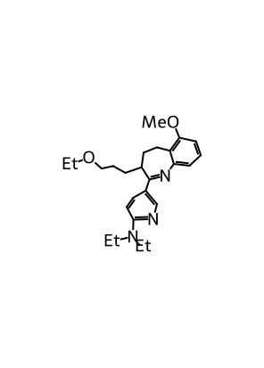 CCOCCCC1CCc2c(cccc2OC)N=C1c1ccc(N(CC)CC)nc1